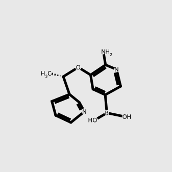 C[C@H](Oc1cc(B(O)O)cnc1N)c1cccnc1